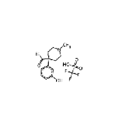 CCC(=O)C1(c2cccc(O)c2)CCN(C)CC1.O=S(=O)(O)C(F)(F)F